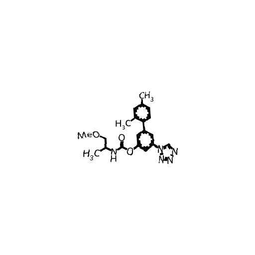 COCC(C)NC(=O)Oc1cc(-c2ccc(C)cc2C)cc(-n2cnnn2)c1